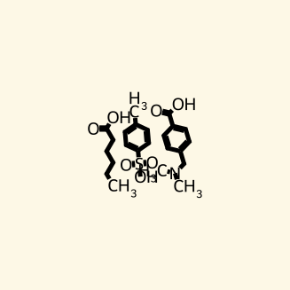 CCCCCC(=O)O.CN(C)Cc1ccc(C(=O)O)cc1.Cc1ccc(S(=O)(=O)O)cc1